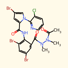 CC(=O)N(C)N(C)C(=O)c1cc(Br)cc(Br)c1NC(=O)c1cc(Br)cn1-c1ncccc1Cl